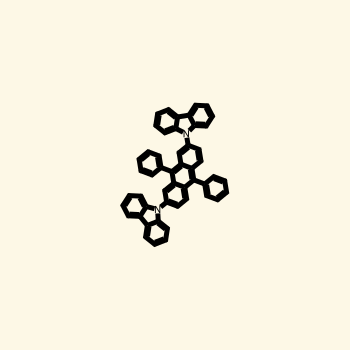 c1ccc(-c2c3ccc(-n4c5ccccc5c5ccccc54)cc3c(-c3ccccc3)c3cc(-n4c5ccccc5c5ccccc54)ccc23)cc1